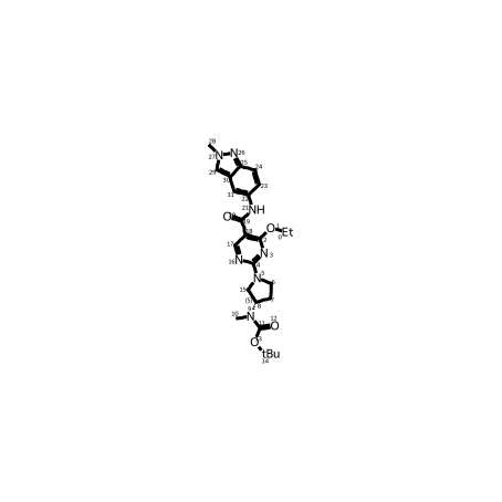 CCOc1nc(N2CC[C@H](N(C)C(=O)OC(C)(C)C)C2)ncc1C(=O)Nc1ccc2nn(C)cc2c1